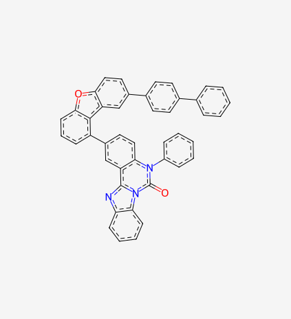 O=c1n(-c2ccccc2)c2ccc(-c3cccc4oc5ccc(-c6ccc(-c7ccccc7)cc6)cc5c34)cc2c2nc3ccccc3n12